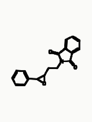 O=C1c2ccccc2C(=O)N1CCC1OC1c1ccccc1